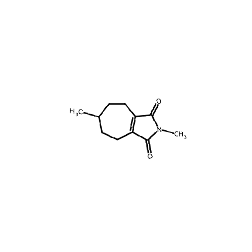 CC1CCC2=C(CC1)C(=O)N(C)C2=O